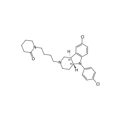 O=C1CCCCN1CCCCN1CC[C@@H]2[C@@H](C1)c1cc(Cl)ccc1N2c1ccc(Cl)cc1